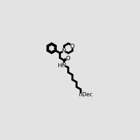 CCCCCCCCCCCCCCCCCNC(=O)CC(c1ccccc1)N1CCOCC1